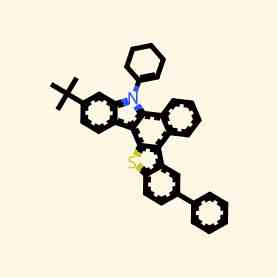 CC(C)(C)c1ccc2c3c4sc5ccc(-c6ccccc6)cc5c4c4ccccc4c3n(C3=CCCCC3)c2c1